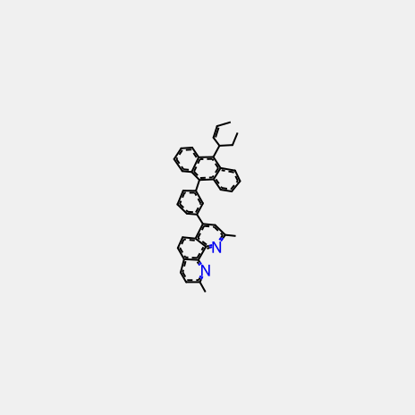 C/C=C\C(CC)c1c2ccccc2c(-c2cccc(-c3cc(C)nc4c3ccc3ccc(C)nc34)c2)c2ccccc12